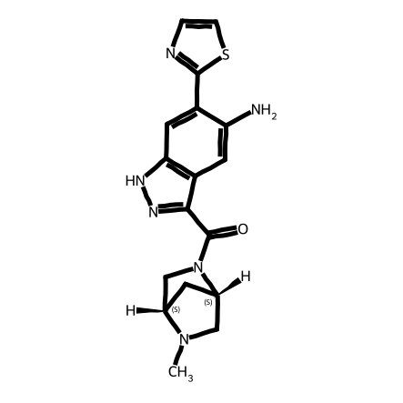 CN1C[C@@H]2C[C@H]1CN2C(=O)c1n[nH]c2cc(-c3nccs3)c(N)cc12